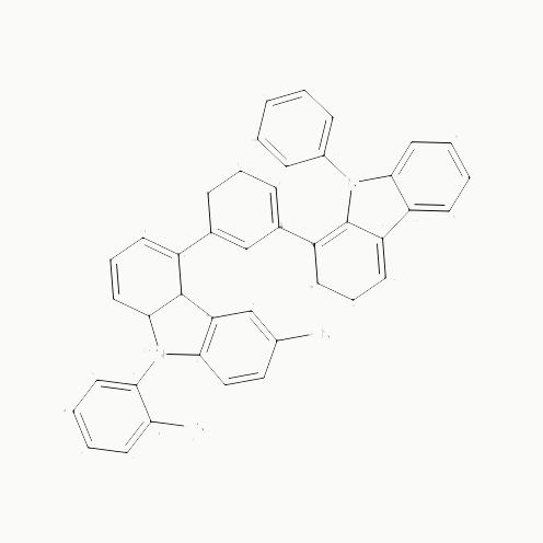 N#Cc1ccc2c(c1)C1C(C3=CC(C4=c5c(c6ccccc6n5-c5ccccc5)=CCC4)=CCC3)=CC=CC1N2c1ccccc1C#N